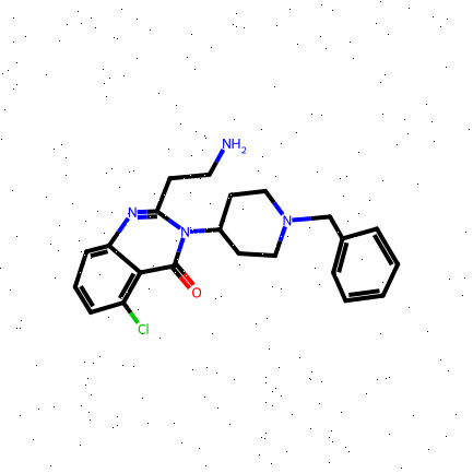 NCCc1nc2cccc(Cl)c2c(=O)n1C1CCN(Cc2ccccc2)CC1